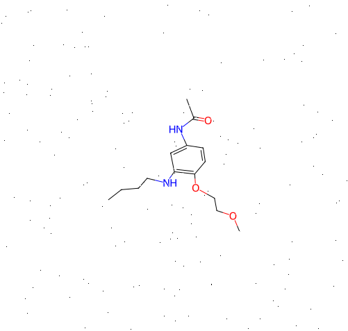 CCCCNc1cc(NC(C)=O)ccc1OCCOC